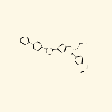 CC(=O)Nc1ccc(C(=O)N(CC(=O)O)Cc2ccc(-c3noc(-c4ccc(-c5ccccc5)cc4)n3)cc2)cc1